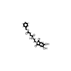 O=C(CCC(=O)OCc1ccccc1)NCCN1C(=O)C2C3OC(C(O)C3O)C2C1=O